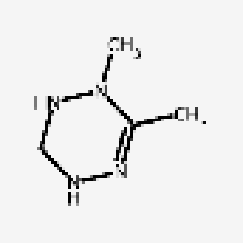 CC1=NNCNN1C